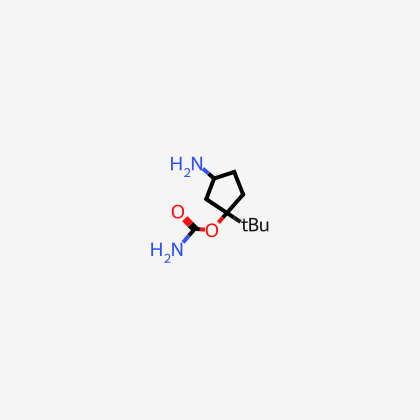 CC(C)(C)C1(OC(N)=O)CCC(N)C1